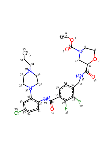 CC(C)(C)OC(=O)N1CCO[C@@H](C(=O)NCc2ccc(C(=O)Nc3ccc(Cl)cc3N3CCN(CCC(F)(F)F)CC3)c(F)c2F)C1